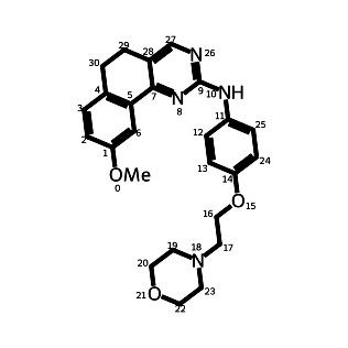 COc1ccc2c(c1)-c1nc(Nc3ccc(OCCN4CCOCC4)cc3)ncc1CC2